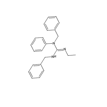 CC/N=C(\NCc1ccccc1)N(Cc1ccccc1)c1ccccc1